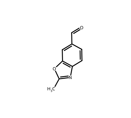 Cc1nc2ccc(C=O)cc2o1